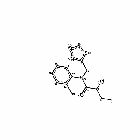 CCC(Cl)C(=O)N(Cc1nncs1)c1ccccc1C